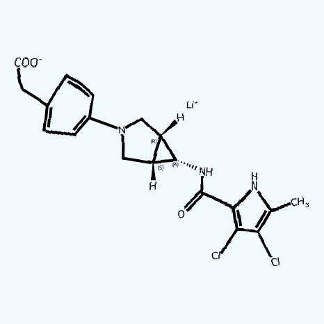 Cc1[nH]c(C(=O)N[C@@H]2[C@@H]3CN(c4ccc(CC(=O)[O-])cc4)C[C@@H]32)c(Cl)c1Cl.[Li+]